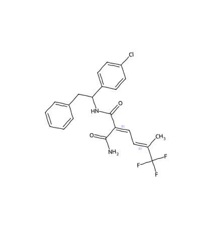 C/C(=C\C=C(/C(N)=O)C(=O)NC(Cc1ccccc1)c1ccc(Cl)cc1)C(F)(F)F